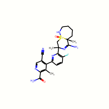 Cc1c(C(N)=O)ncc(C#N)c1-c1ccc(F)c(C2(C)C[SH]3(=O)NCCCCC3(C)C(N)=N2)n1